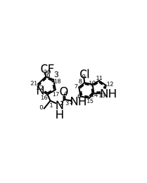 CC(NC(=O)Nc1cc(Cl)c2cc[nH]c2c1)c1ccc(C(F)(F)F)cn1